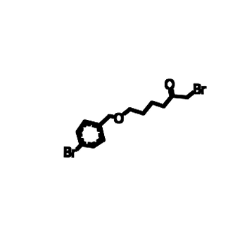 O=C(CBr)CCCCOCc1ccc(Br)cc1